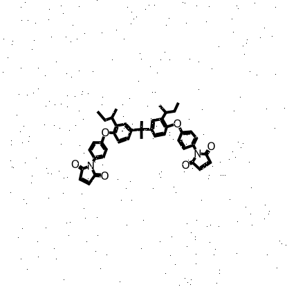 CCC(C)c1cc(C(C)(C)c2ccc(Oc3ccc(N4C(=O)C=CC4=O)cc3)c(C(C)CC)c2)ccc1Oc1ccc(N2C(=O)C=CC2=O)cc1